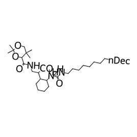 CCCCCCCCCCCCCCCCCCNC(=O)N(C)C1CCCCC1C(CNC(=O)C1OC(C)(C)OCC1(C)C)C(=O)O